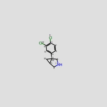 Clc1ccc([C@@]23CNCC2C3)cc1Cl